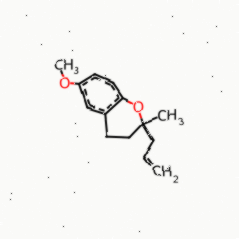 C=CCC1(C)CCc2cc(OC)ccc2O1